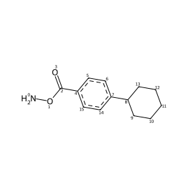 NOC(=O)c1ccc(C2CCCCC2)cc1